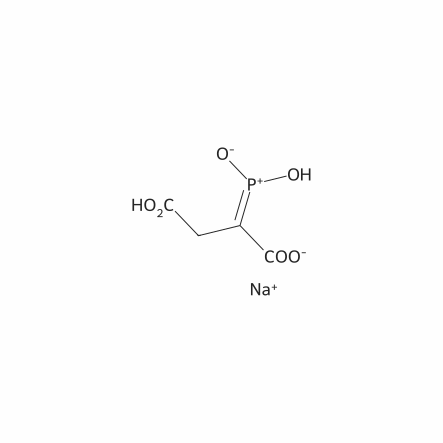 O=C(O)C/C(C(=O)[O-])=[P+](\[O-])O.[Na+]